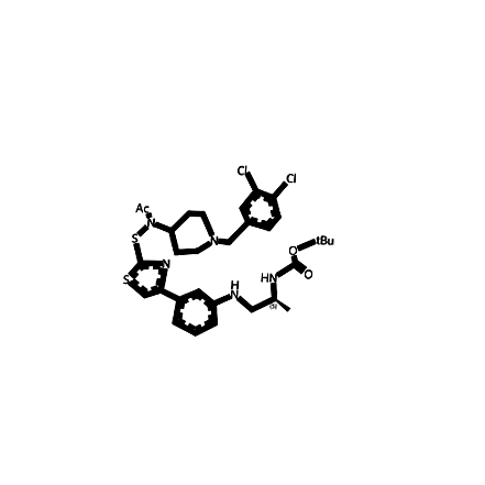 CC(=O)N(Sc1nc(-c2cccc(NC[C@H](C)NC(=O)OC(C)(C)C)c2)cs1)C1CCN(Cc2ccc(Cl)c(Cl)c2)CC1